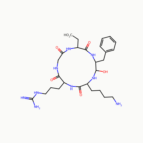 N=C(N)NCCCC1NC(=O)C(CCCCN)NC(O)C(Cc2ccccc2)NC(=O)C(CC(=O)O)NC(=O)CNC1=O